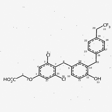 O=C(O)COc1cc(Cl)c(Cc2ccc(O)c(Cc3ccc(CC(F)(F)F)cc3)c2)c(Cl)c1